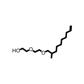 C=CCCCCCCC(C)COCCOCCO